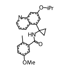 COc1ccc(C)c(C(=O)NC2(c3cc(OC(C)C)cc4ncccc34)CC2)c1